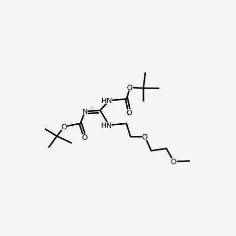 COCCOCCN/C(=N\C(=O)OC(C)(C)C)NC(=O)OC(C)(C)C